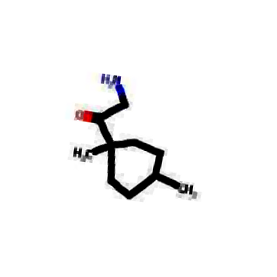 CC1CCC(C)(C(=O)CN)CC1